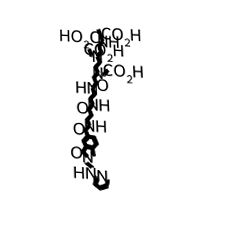 CC(NCCN(CCN(CC(=O)O)CC(=O)NCCNC(=O)CCNC(=O)c1ccc2c(c1)C(=O)N(CCNc1ccccn1)C2)CC(=O)O)(C(=O)O)C(=O)O